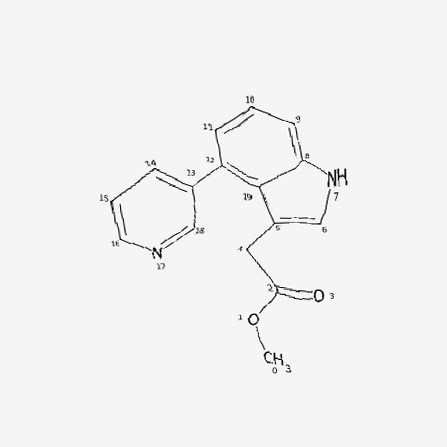 COC(=O)Cc1c[nH]c2cccc(-c3cccnc3)c12